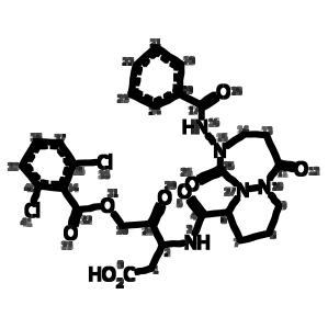 O=C(O)CC(NC(=O)C1CCCN2C(=O)CCN(NC(=O)c3ccccc3)C(=O)N12)C(=O)COC(=O)c1c(Cl)cccc1Cl